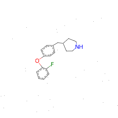 Fc1ccccc1Oc1ccc(CC2CCNCC2)cc1